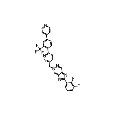 Fc1cccc(-c2nc3cnn(Cc4ccc(-c5ccc(-c6ccncc6)cc5C(F)(F)F)nn4)cc-3n2)c1F